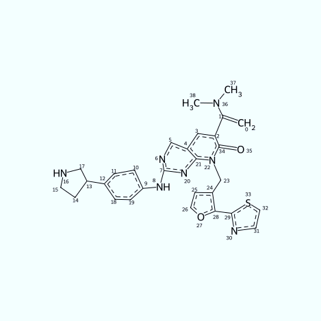 C=C(c1cc2cnc(Nc3ccc(C4CCNC4)cc3)nc2n(Cc2ccoc2-c2nccs2)c1=O)N(C)C